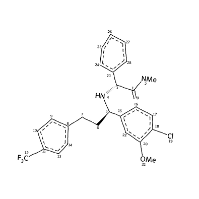 C=C(NC)[C@H](N[C@H](CCc1ccc(C(F)(F)F)cc1)c1ccc(Cl)c(OC)c1)c1ccccc1